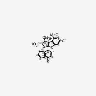 COc1nc(Cl)cc2c1[C@]1(O)[C@H](O)[C@H](C(=O)O)[C@@H](c3ccccc3)[C@]1(C1C=CC(Br)=CC1)O2